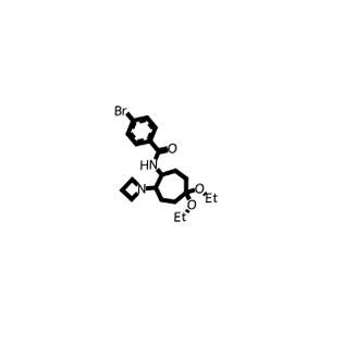 CCOC1(OCC)CCC(NC(=O)c2ccc(Br)cc2)C(N2CCC2)CC1